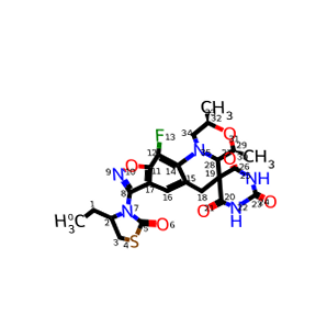 CCC1CSC(=O)N1c1noc2c(F)c3c(cc12)CC1(C(=O)NC(=O)NC1=O)C1[C@H](C)O[C@H](C)CN31